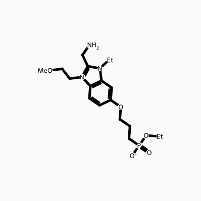 CCOP(=O)([O-])CCCOc1ccc2c(c1)n(CC)c(CN)[n+]2CCOC